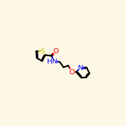 O=C(NCCCOc1ccccn1)c1cccs1